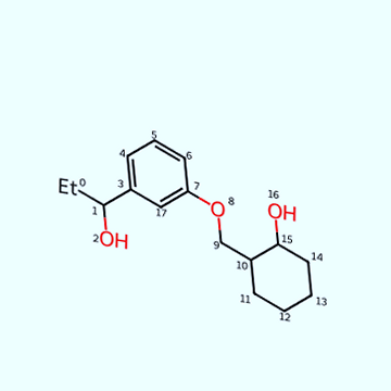 CCC(O)c1cccc(OCC2CCCCC2O)c1